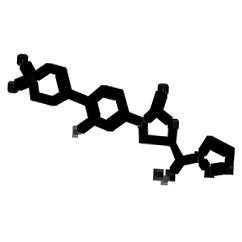 NC([C@H]1CN(c2ccc(C3=CCS(=O)(=O)CC3)c(F)c2)C(=O)O1)n1ccnn1